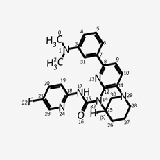 CN(C)c1cccc(-c2ccc3c(n2)N(C(=O)Nc2ccc(F)cn2)[C@H]2CCCN3C2)c1